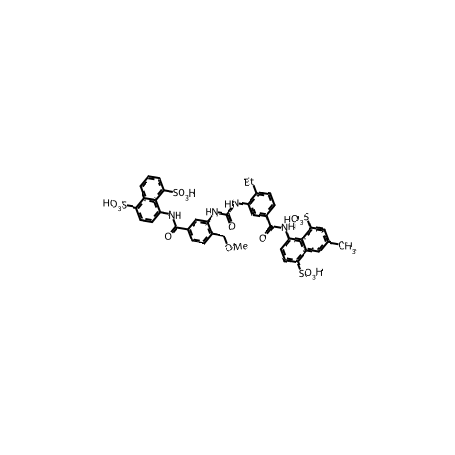 CCc1ccc(C(=O)Nc2ccc(S(=O)(=O)O)c3cc(C)cc(S(=O)(=O)O)c23)cc1NC(=O)Nc1cc(C(=O)Nc2ccc(S(=O)(=O)O)c3cccc(S(=O)(=O)O)c23)ccc1COC